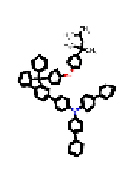 CC(C)CC(C)(C)c1ccc(Oc2ccc(C3(c4ccccc4)c4ccccc4-c4ccc(-c5ccc(N(c6ccc(-c7ccccc7)cc6)c6ccc(-c7ccccc7)cc6)cc5)cc43)cc2)cc1